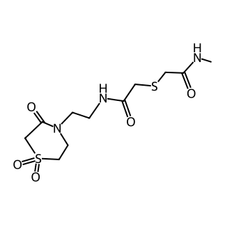 CNC(=O)CSCC(=O)NCCN1CCS(=O)(=O)CC1=O